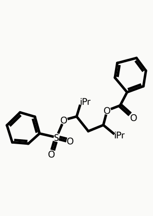 CC(C)C(CC(OS(=O)(=O)c1ccccc1)C(C)C)OC(=O)c1ccccc1